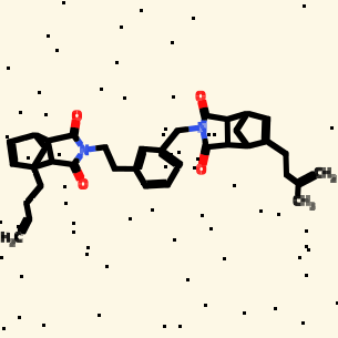 C=CCCC12C=CC(C1)C1C(=O)N(CCc3cccc(CN4C(=O)C5C6C=C(CCC(=C)C)C(C6)C5C4=O)c3)C(=O)C12